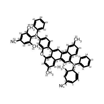 CC1=CC(C#N)=CC#CC1N(c1ccccc1)c1cc2c3cc(C)cc4c3c(cc2c2cc(C)ccc12)-c1ccc(N(c2ccccc2)c2c(C)cc(C#N)cc2C)cc1O4